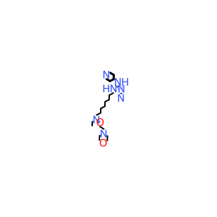 CCN(CCCCCCCCN/C(=N\C#N)Nc1ccncc1)OCCN1CCOCC1